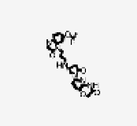 O=C1COc2ccc(N3C[C@H](NCCCn4c(=O)cnc5ccc(OC(F)F)cc54)CC3=O)nc2N1